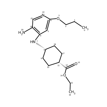 CCCOc1cc(N[C@H]2CC[C@@H](C(=O)OCC)CC2)c(N)cn1